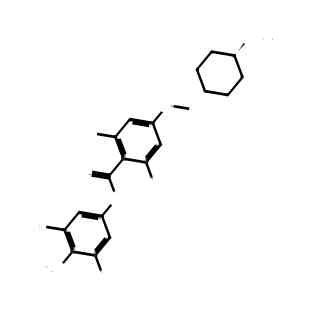 CCCCCC[C@H]1CC[C@H](COc2cc(F)c(C(=O)Oc3cc(F)c(C#N)c(F)c3)c(F)c2)CC1